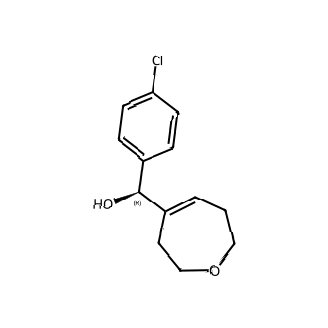 O[C@H](C1=CCCOCC1)c1ccc(Cl)cc1